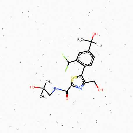 CC(C)(O)CNC(=O)c1nc(CO)c(-c2ccc(C(O)(C(F)(F)F)C(F)(F)F)cc2C(F)F)s1